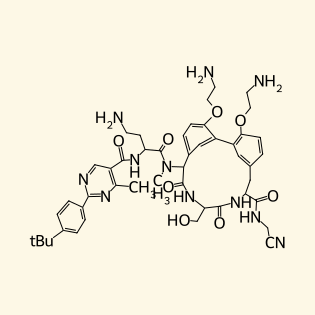 Cc1nc(-c2ccc(C(C)(C)C)cc2)ncc1C(=O)NC(CCN)C(=O)N(C)C1C(=O)NC(CO)C(=O)NC(C(=O)NCC#N)Cc2ccc(OCCN)c(c2)-c2cc1ccc2OCCN